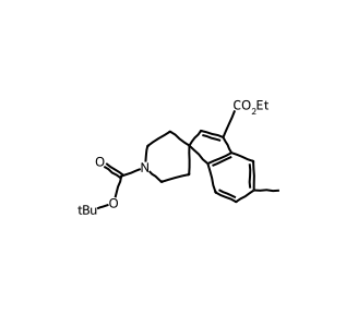 CCOC(=O)C1=CC2(CCN(C(=O)OC(C)(C)C)CC2)c2ccc(C)cc21